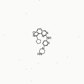 c1cc(Nc2ncc3ccc4onc(C5CCCC5)c4c3n2)ncc1N1CCNCC1